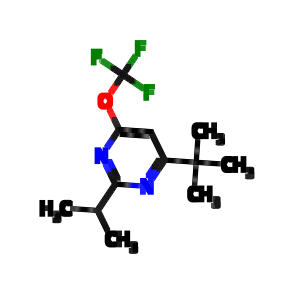 CC(C)c1nc(OC(F)(F)F)cc(C(C)(C)C)n1